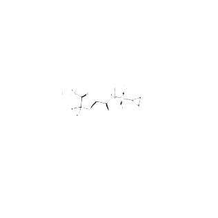 NC(=O)C1(C=CC(=O)NS(=O)(=O)C2CC2)CC1